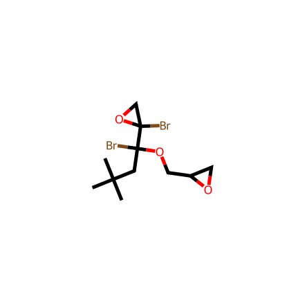 CC(C)(C)CC(Br)(OCC1CO1)C1(Br)CO1